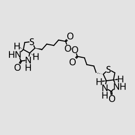 O=C1N[C@H]2[C@H](CS[C@H]2CCCCC(=O)OOC(=O)CCCC[C@@H]2SC[C@@H]3NC(=O)N[C@@H]32)N1